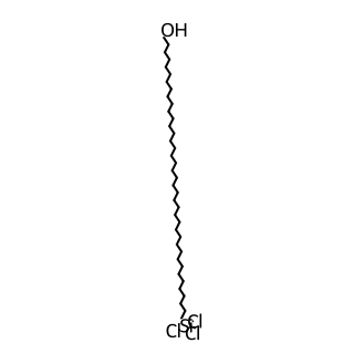 OCCCCCCCCCCCCCCCCCCCCCCCCCCCCCCCCCCCCCCC[Si](Cl)(Cl)Cl